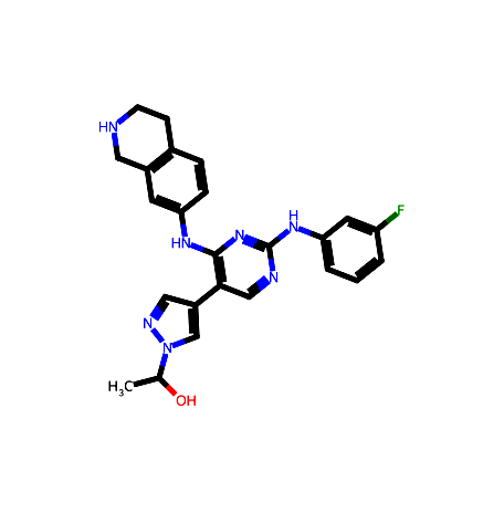 CC(O)n1cc(-c2cnc(Nc3cccc(F)c3)nc2Nc2ccc3c(c2)CNCC3)cn1